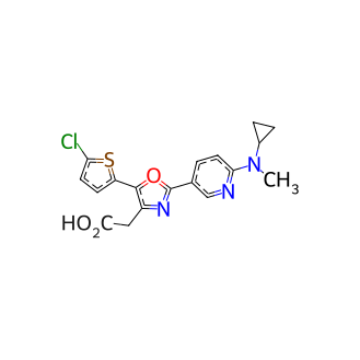 CN(c1ccc(-c2nc(CC(=O)O)c(-c3ccc(Cl)s3)o2)cn1)C1CC1